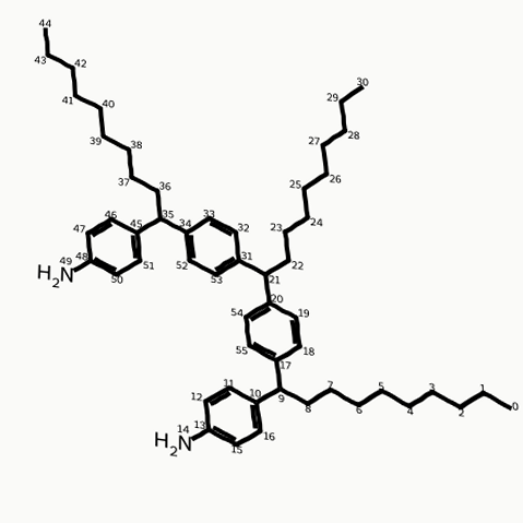 CCCCCCCCCC(c1ccc(N)cc1)c1ccc(C(CCCCCCCCC)c2ccc(C(CCCCCCCCC)c3ccc(N)cc3)cc2)cc1